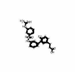 N=C(N)Nc1cccc(S(=O)(=O)Nc2cccc(-c3cc(CCC(=O)O)ccc3F)c2)c1